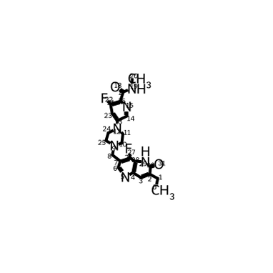 CCc1cc2ncc(CN3CCN(c4cnc(C(=O)NC)c(F)c4)CC3)c(F)c2[nH]c1=O